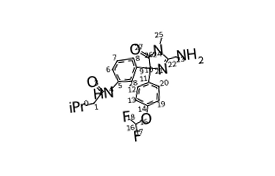 CC(C)CC(=O)Nc1cccc(C2(c3ccc(OC(F)F)cc3)N=C(N)N(C)C2=O)c1